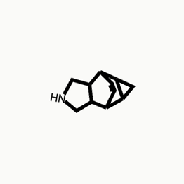 C1=CC2C3CNCC3C1C1CC21